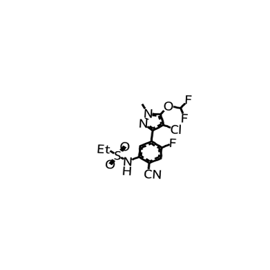 CCS(=O)(=O)Nc1cc(-c2nn(C)c(OC(F)F)c2Cl)c(F)cc1C#N